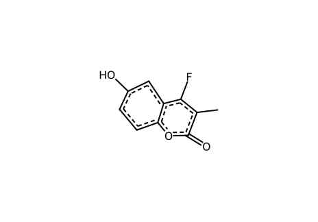 Cc1c(F)c2cc(O)ccc2oc1=O